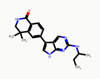 CCC(C)Nc1ncc2c(-c3ccc4c(c3)C(C)(C)CNC4=O)c[nH]c2n1